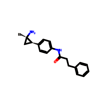 CC[C@@]1(N)C[C@H]1c1ccc(NC(=O)CCc2ccccc2)cc1